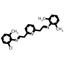 Cc1cccc(C)c1N=CCc1cccc(CC=Nc2c(C)cccc2Cl)n1